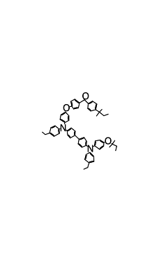 CCc1ccc(N(c2ccc(Oc3ccc(C(=O)c4ccc(C(C)(C)CC)cc4)cc3)cc2)c2ccc(-c3ccc(N(c4ccc(CC)cc4)c4ccc(OC(C)(C)CC)cc4)cc3)cc2)cc1